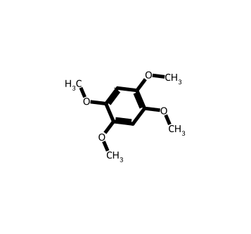 COc1[c]c(OC)c(OC)cc1OC